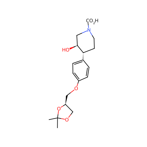 CC1(C)OC[C@H](COc2ccc([C@H]3CCN(C(=O)O)C[C@@H]3O)cc2)O1